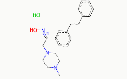 CN1CCN(C/C(=N\O)c2cccc(CCc3ccccc3)c2)CC1.Cl